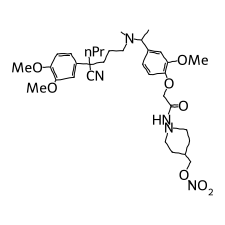 CCCC(C#N)(CCCN(C)C(C)c1ccc(OCC(=O)NN2CCC(CO[N+](=O)[O-])CC2)c(OC)c1)c1ccc(OC)c(OC)c1